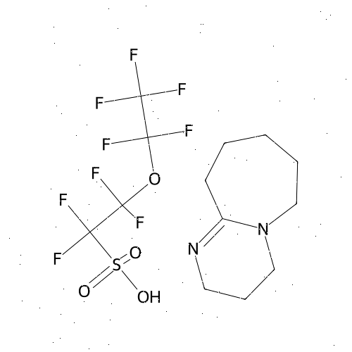 C1CCC2=NCCCN2CC1.O=S(=O)(O)C(F)(F)C(F)(F)OC(F)(F)C(F)(F)F